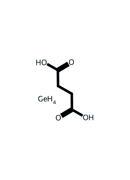 O=C(O)CCC(=O)O.[GeH4]